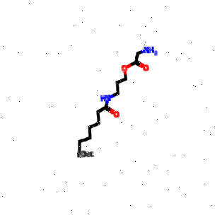 CCCCCCCCCCCCCCCC(=O)NCCCOC(=O)CN